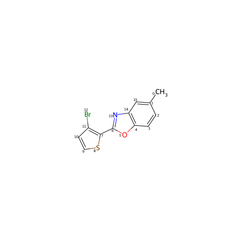 Cc1ccc2oc(-c3sccc3Br)nc2c1